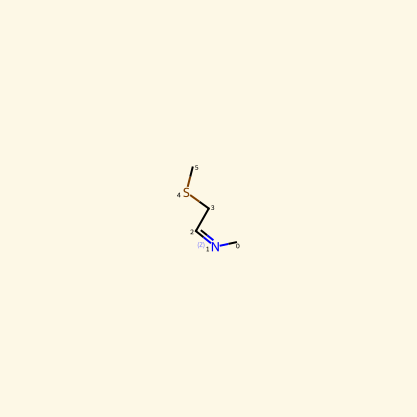 C/N=C\CSC